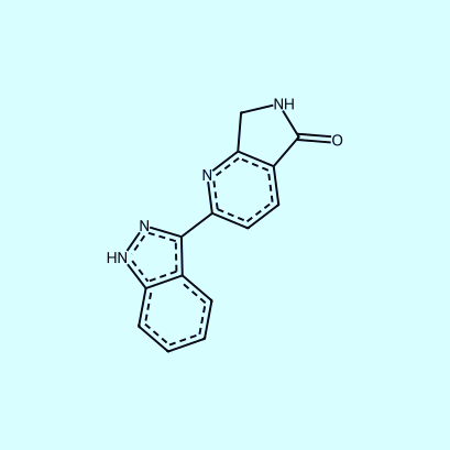 O=C1NCc2nc(-c3n[nH]c4ccccc34)ccc21